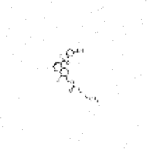 CCCCCC(=O)OCn1ccc2c(S(=O)(=O)N3CC[C@@H](N)C3)cccc2c1=O